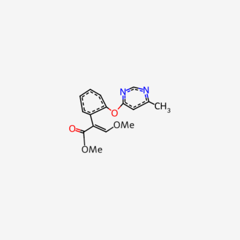 CO/C=C(/C(=O)OC)c1ccccc1Oc1cc(C)ncn1